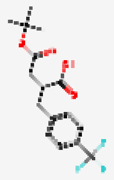 CC(C)(C)OC(=O)CC(Cc1ccc(C(F)(F)F)cc1)C(=O)O